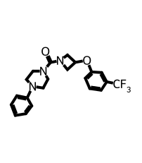 O=C(N1CCN(c2ccccc2)CC1)N1CC(Oc2cccc(C(F)(F)F)c2)C1